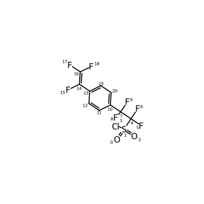 O=S(=O)(Cl)C(F)(F)C(F)(F)c1ccc(C(F)=C(F)F)cc1